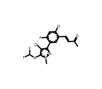 CC(=O)C=Cc1cc(-c2nn(C)c(OC(F)F)c2Cl)c(F)cc1Cl